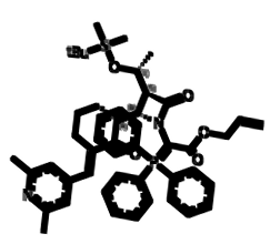 C=CCOC(=O)C(N1C(=O)[C@H]([C@@H](C)O[Si](C)(C)C(C)(C)C)[C@H]1[C@H]1CCCC(=Cc2cc(C)nc(C)c2)C1=O)=P(c1ccccc1)(c1ccccc1)c1ccccc1